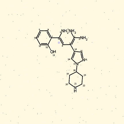 NC(N)=C(/C=C(\N)c1ccccc1O)c1cnn(C2CCNCC2)c1